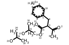 CC(=O)C(Cc1ccccc1)C(=O)[O-].CC(C)[O-].CC(C)[O-].[Al+3]